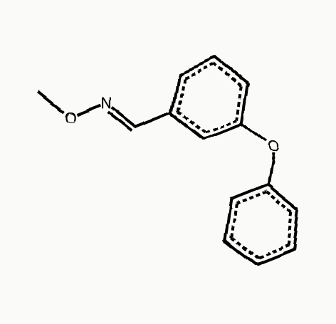 CO/N=C/c1cccc(Oc2ccccc2)c1